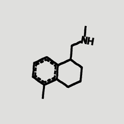 CNCC1CCCc2c(C)cccc21